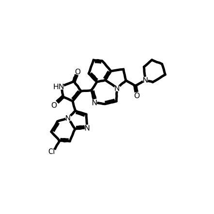 O=C1NC(=O)C(c2cnc3cc(Cl)ccn23)=C1C1=NC=CN2c3c(cccc31)CC2C(=O)N1CCCCC1